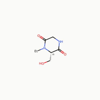 CCN1C(=O)CNC(=O)[C@@H]1CO